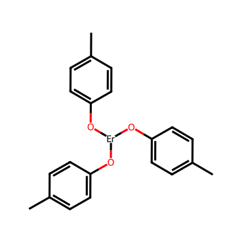 Cc1ccc([O][Er]([O]c2ccc(C)cc2)[O]c2ccc(C)cc2)cc1